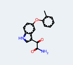 Cc1ccccc1Oc1ccc2[nH]cc(C(=O)C(N)=O)c2c1